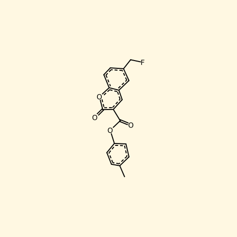 Cc1ccc(OC(=O)c2cc3cc(CF)ccc3oc2=O)cc1